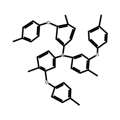 Cc1ccc(Oc2cc(N(c3ccc(C)c(Oc4ccc(C)cc4)c3)c3ccc(C)c(Oc4ccc(C)cc4)c3)ccc2C)cc1